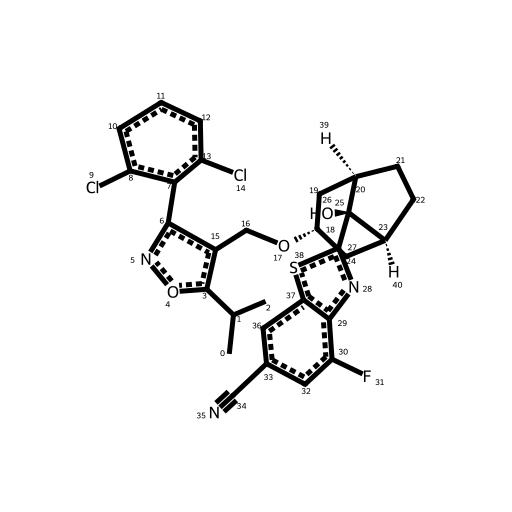 CC(C)c1onc(-c2c(Cl)cccc2Cl)c1CO[C@@H]1C[C@H]2CC[C@@H](C1)[C@]2(O)c1nc2c(F)cc(C#N)cc2s1